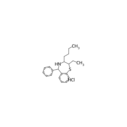 CCCCC1NC(c2ccccc2)c2ccccc2SC1CC.Cl